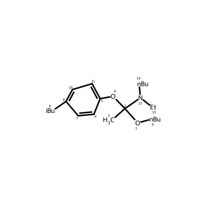 CCCCOC(C)(Oc1ccc(C(C)CC)cc1)N(CC)CCCC